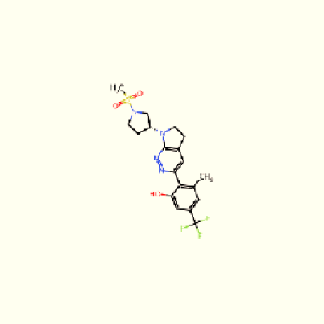 Cc1cc(C(F)(F)F)cc(O)c1-c1cc2c(nn1)N([C@@H]1CCN(S(C)(=O)=O)C1)CC2